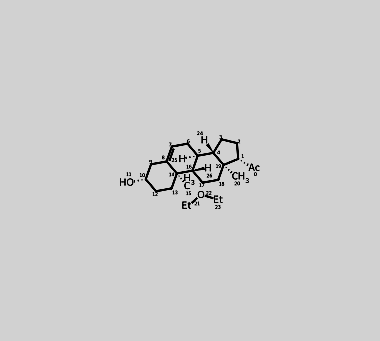 CC(=O)[C@H]1CC[C@H]2[C@@H]3CC=C4C[C@@H](O)CC[C@]4(C)[C@H]3CC[C@]12C.CCOCC